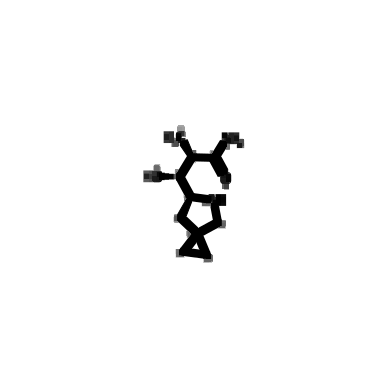 C[C@@H](C(N)=O)[C@@H](O)[C@@H]1CC2(CC2)CN1